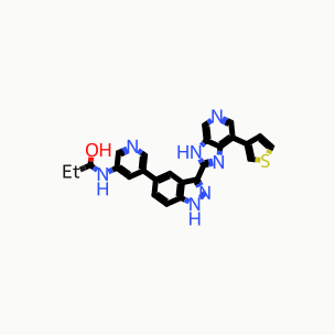 CCC(O)Nc1cncc(-c2ccc3[nH]nc(-c4nc5c(-c6ccsc6)cncc5[nH]4)c3c2)c1